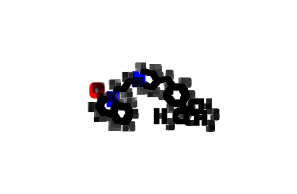 CC(C)(C)c1ccc(CC2CCN(CCCn3c(=O)ccc4ccccc43)CC2)cc1